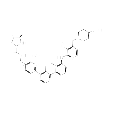 COc1nc(-c2ccnc(-c3cccc(Nc4nccc(CN5CCC(C(=O)O)CC5)c4F)c3Cl)c2C)ccc1CNC[C@H]1CCC(=O)N1